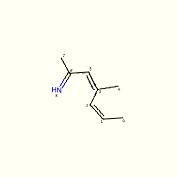 C/C=C\C(C)=C/C(C)=N